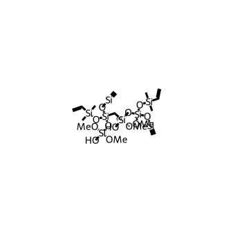 C#[Si]O[Si](C[Si@@](O)(OC)O[Si](OC)(O[Si]#C)O[Si](C)(C)C=C)(O[Si](C)(C)C=C)O[Si](O)(OC)OC